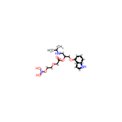 CC(C)NCC(COc1cccc2[nH]ccc12)OC(=O)COCCON(O)O